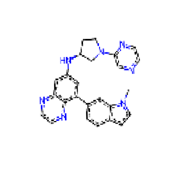 Cn1ccc2ccc(-c3cc(N[C@H]4CCN(c5cnccn5)C4)cc4nccnc34)cc21